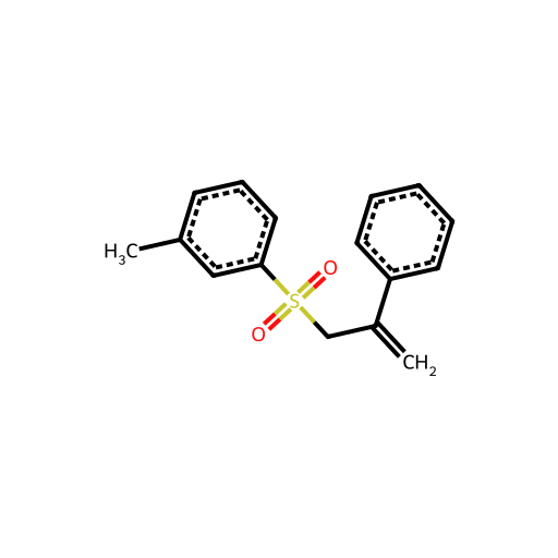 C=C(CS(=O)(=O)c1cccc(C)c1)c1ccccc1